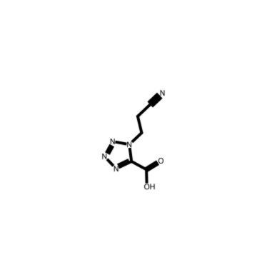 N#CCCn1nnnc1C(=O)O